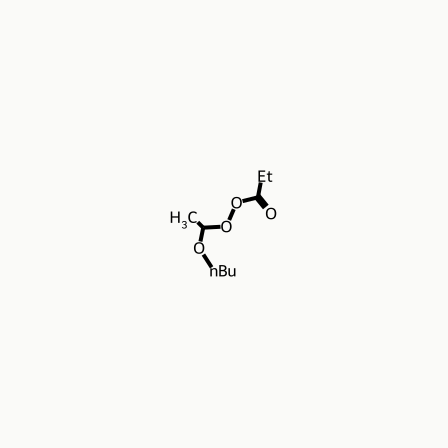 CCCCOC(C)OOC(=O)CC